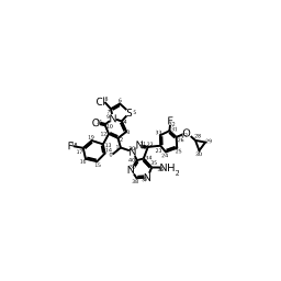 CC(c1cc2scc(Cl)n2c(=O)c1-c1cccc(F)c1)n1nc(-c2ccc(OC3CC3)c(F)c2)c2c(N)ncnc21